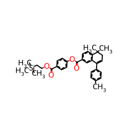 Cc1ccc(C2=CCC(C)(C)c3ccc(C(=O)Oc4ccc(C(=O)OCC[Si](C)(C)C)cc4)cc32)cc1